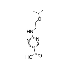 CC(C)OCCNc1ncc(C(=O)O)cn1